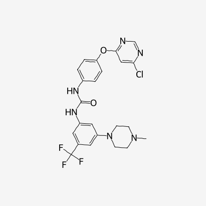 CN1CCN(c2cc(NC(=O)Nc3ccc(Oc4cc(Cl)ncn4)cc3)cc(C(F)(F)F)c2)CC1